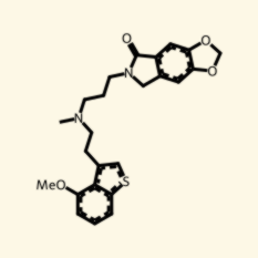 COc1cccc2scc(CCN(C)CCCN3Cc4cc5c(cc4C3=O)OCO5)c12